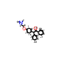 CN(C)CCOc1ccc(C(C(=O)c2ccccc2)c2ccccc2)cc1